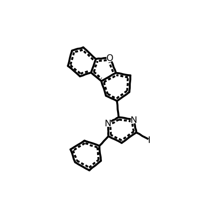 Ic1cc(-c2ccccc2)nc(-c2ccc3oc4ccccc4c3c2)n1